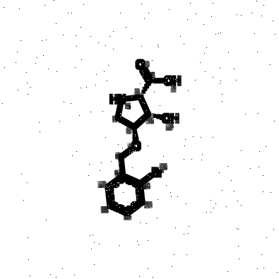 O=C(O)[C@H]1NC[C@H](OCc2ccccc2Br)[C@H]1O